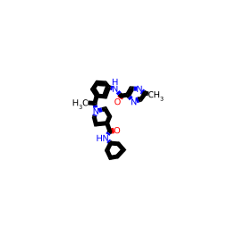 Cc1cnc(C(=O)Nc2cccc(C(C)N3CCC(C(=O)NC4CCCCC4)CC3)c2)cn1